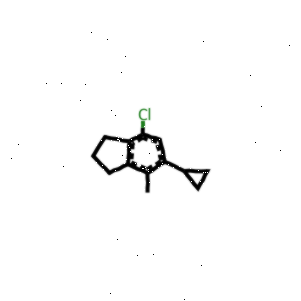 Cc1c(C2CC2)cc(Cl)c2c1CCC2